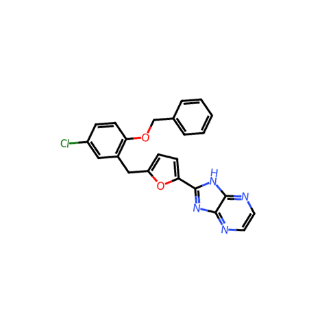 Clc1ccc(OCc2ccccc2)c(Cc2ccc(-c3nc4nccnc4[nH]3)o2)c1